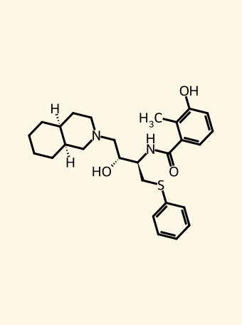 Cc1c(O)cccc1C(=O)N[C@@H](CSc1ccccc1)[C@H](O)CN1CC[C@@H]2CCCC[C@@H]2C1